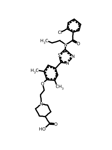 CCCN(C(=O)c1ccccc1Cl)c1nnc(-c2cc(C)c(OCCN3CCC(C(=O)O)CC3)c(C)c2)s1